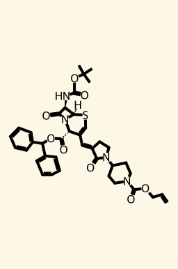 C=CCOC(=O)N1CCC(N2CCC(=CC3=CS[C@@H]4[C@H](NC(=O)OC(C)(C)C)C(=O)N4[C@H]3C(=O)OC(c3ccccc3)c3ccccc3)C2=O)CC1